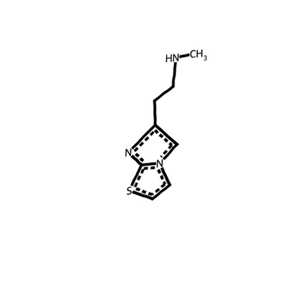 CNCCc1cn2ccsc2n1